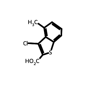 Cc1cccc2sc(C(=O)O)c(Cl)c12